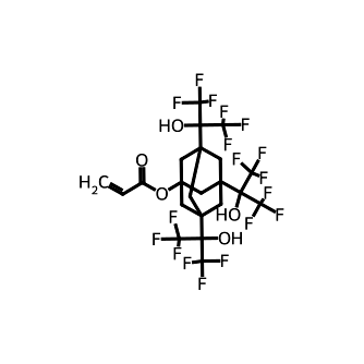 C=CC(=O)OC12CC3(C(O)(C(F)(F)F)C(F)(F)F)CC(C(O)(C(F)(F)F)C(F)(F)F)(C1)CC(C(O)(C(F)(F)F)C(F)(F)F)(C2)C3